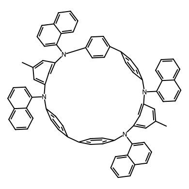 Cc1cc2cc(c1)n(-c1cccc3ccccc13)c1ccc(cc1)c1ccc(cc1)n(-c1cccc3ccccc13)c1cc(C)cc(c1)n(-c1cccc3ccccc13)c1ccc(cc1)c1ccc(cc1)n2-c1cccc2ccccc12